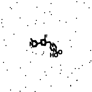 Cc1cc(-c2ccc(CN3CCN(C(=O)O)CC3)c(F)c2)ccn1